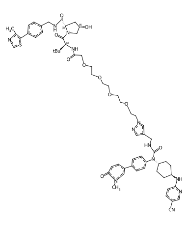 Cc1ncsc1-c1ccc(CNC(=O)[C@@H]2C[C@@H](O)CN2C(=O)[C@@H](NC(=O)COCCOCCOCCOCCn2cc(CNC(=O)N(c3ccc(-c4ccc(=O)n(C)c4)cc3)[C@H]3CC[C@H](Nc4ccc(C#N)cn4)CC3)cn2)C(C)(C)C)cc1